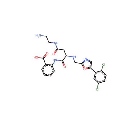 NCCNC(=O)CC(NCc1ncc(-c2cc(Cl)ccc2Cl)o1)C(=O)Nc1ccccc1C(=O)O